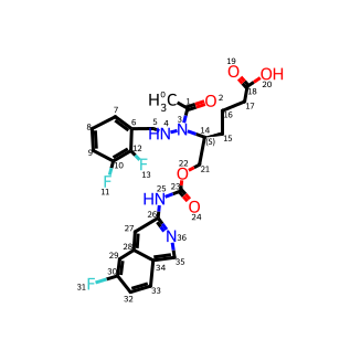 CC(=O)N(NCc1cccc(F)c1F)[C@@H](CCCC(=O)O)COC(=O)Nc1cc2cc(F)ccc2cn1